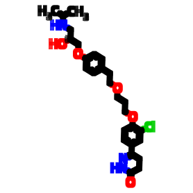 CC(C)NC[C@H](O)COc1ccc(CCOCCCOc2ccc(C3=NNC(=O)CC3)cc2Cl)cc1